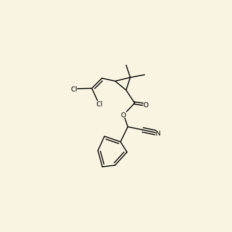 CC1(C)C(C=C(Cl)Cl)C1C(=O)OC(C#N)c1ccccc1